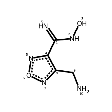 N=C(NO)c1nonc1CN